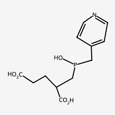 O=C(O)CCC(CP(O)Cc1ccncc1)C(=O)O